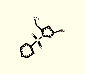 CC(C)(C)c1cc(CN)n(S(=O)(=O)c2ccccc2)n1